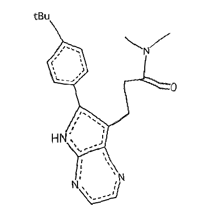 CN(C)C(=O)CCc1c(-c2ccc(C(C)(C)C)cc2)[nH]c2nccnc12